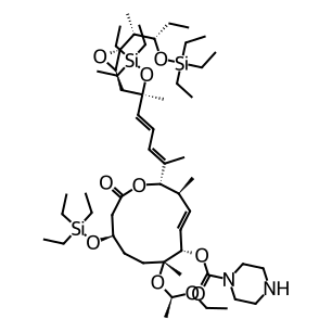 CCO[C@@H](C)O[C@]1(C)CC[C@@H](O[Si](CC)(CC)CC)CC(=O)O[C@H](/C(C)=C/C=C/[C@@](C)(C[C@H]2O[C@@H]2[C@H](C)[C@H](CC)O[Si](CC)(CC)CC)O[Si](CC)(CC)CC)[C@@H](C)/C=C/[C@@H]1OC(=O)N1CCNCC1